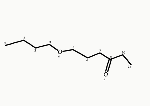 CCCCOCCCC(=O)CC